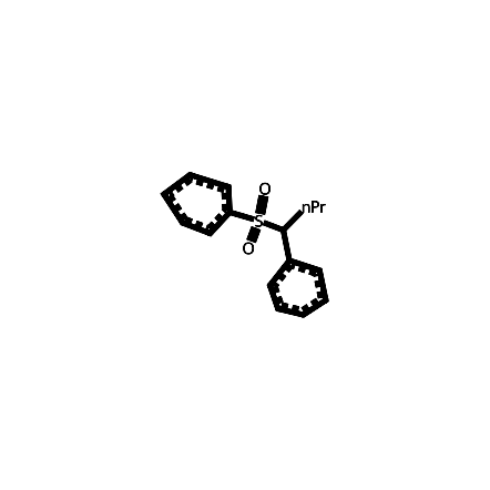 CCCC(c1ccccc1)S(=O)(=O)c1ccccc1